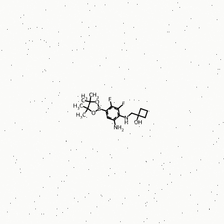 CC1(C)OB(c2cc(N)c(NCC3(O)CCC3)c(F)c2F)OC1(C)C